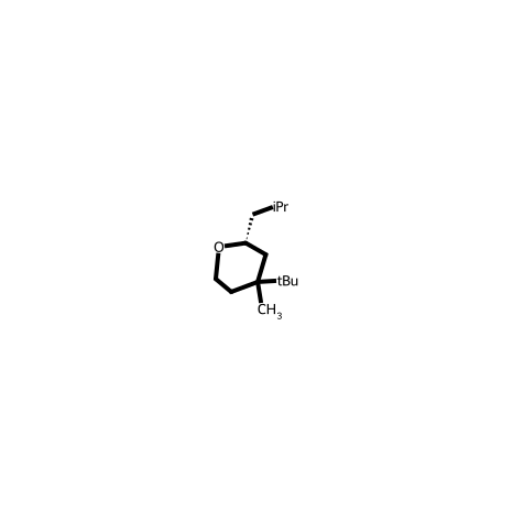 CC(C)C[C@@H]1CC(C)(C(C)(C)C)CCO1